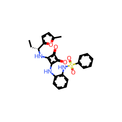 CC[C@@H](Nc1c(Nc2ccccc2NS(=O)(=O)c2ccccc2)c(=O)c1=O)c1ccc(C)o1